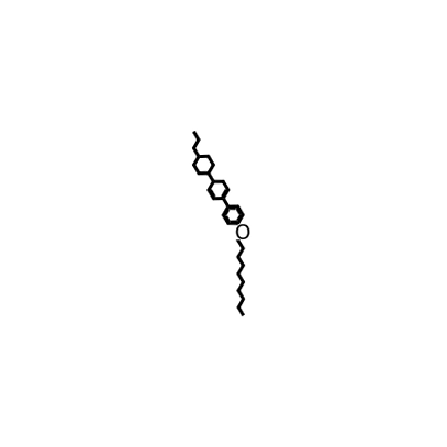 CCCCCCCCCCOc1ccc(C2=CCC(C3CCC(CCC)CC3)C=C2)cc1